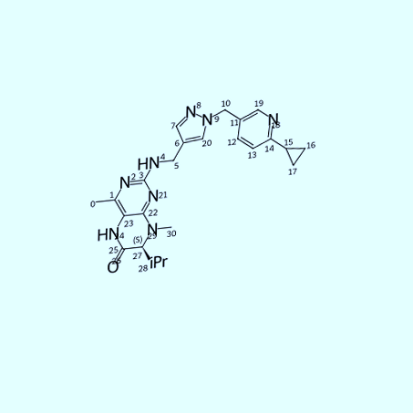 Cc1nc(NCc2cnn(Cc3ccc(C4CC4)nc3)c2)nc2c1NC(=O)[C@H](C(C)C)N2C